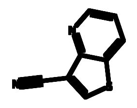 N#Cc1csc2cccnc12